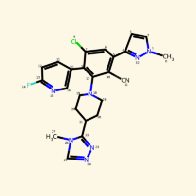 Cn1ccc(-c2cc(Cl)c(-c3ccc(F)nc3)c(N3CCC(c4nncn4C)CC3)c2C#N)n1